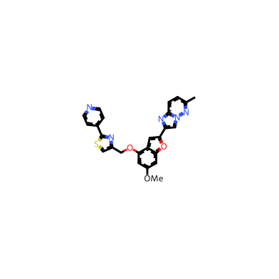 COc1cc(OCc2csc(-c3ccncc3)n2)c2cc(-c3cn4nc(C)ccc4n3)oc2c1